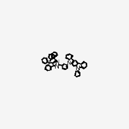 c1ccc(-c2nc(-c3cccc(-n4c5ccccc5c5cc6c7ccccc7n(-c7ccccc7)c6cc54)c3)nc3c2[Si](c2ccccc2)(c2ccccc2)c2ccccc2-3)cc1